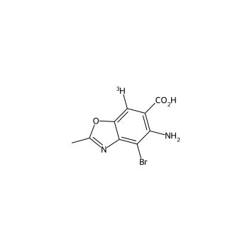 [3H]c1c(C(=O)O)c(N)c(Br)c2nc(C)oc12